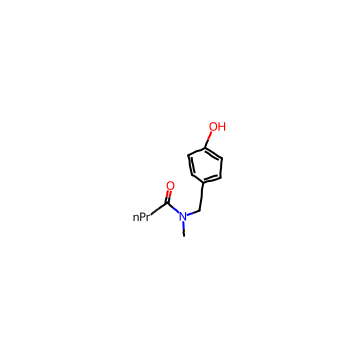 CCCC(=O)N(C)Cc1ccc(O)cc1